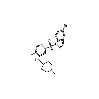 Cc1ccc(S(=O)(=O)n2ccc3cc(Br)ccc32)cc1NC1CCN(C)CC1